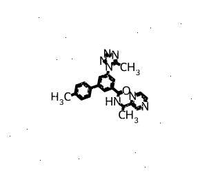 Cc1ccc(-c2cc(C(=O)NC(C)c3cnccn3)cc(-n3nnnc3C)c2)cc1